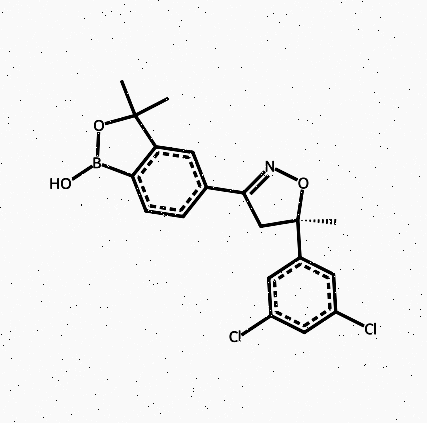 CC1(C)OB(O)c2ccc(C3=NO[C@@](C)(c4cc(Cl)cc(Cl)c4)C3)cc21